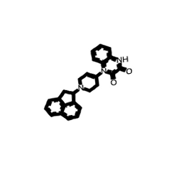 O=c1[nH]c2ccccc2n(C2=CCN(C3Cc4cccc5cccc3c45)CC2)c1=O